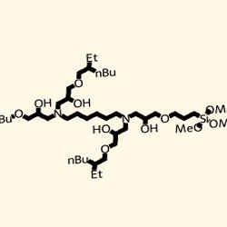 CCCCOCC(O)CN(CCCCCCN(CC(O)COCCC[Si](OC)(OC)OC)CC(O)COCC(CC)CCCC)CC(O)COCC(CC)CCCC